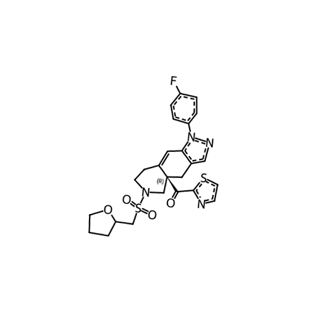 O=C(c1nccs1)[C@]12Cc3cnn(-c4ccc(F)cc4)c3C=C1CCN(S(=O)(=O)CC1CCCO1)C2